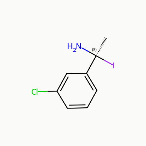 C[C@](N)(I)c1cccc(Cl)c1